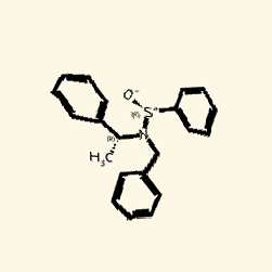 C[C@H](c1ccccc1)N(Cc1ccccc1)[S@@+]([O-])c1ccccc1